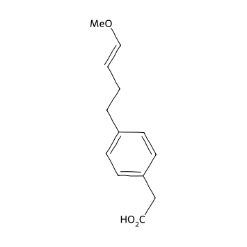 COC=CCCc1ccc(CC(=O)O)cc1